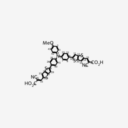 COc1ccc(N(c2ccc(-c3cc4sc(/C=C(\C#N)C(=O)O)cc4s3)cc2)c2ccc(-c3cc4sc(/C=C(\C#N)C(=O)O)cc4s3)cc2)cc1